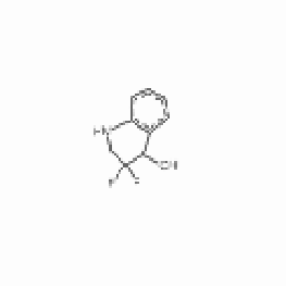 OC1c2ccccc2NCC1(F)F